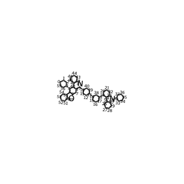 c1ccc(-c2c3c(cc4c(-c5ccc(-c6cccc(-c7cccc8c7c7ccccc7n8-c7ccccc7)c6)cc5)nc5ccccc5c24)oc2ccccc23)cc1